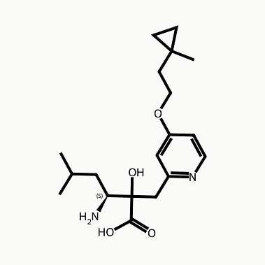 CC(C)C[C@H](N)C(O)(Cc1cc(OCCC2(C)CC2)ccn1)C(=O)O